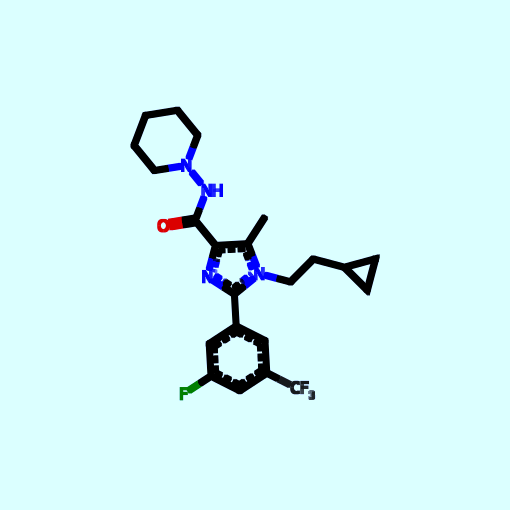 Cc1c(C(=O)NN2CCCCC2)nc(-c2cc(F)cc(C(F)(F)F)c2)n1CCC1CC1